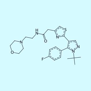 CC(C)(C)n1ncc(-c2nc(CC(=O)NCCN3CCOCC3)cs2)c1-c1ccc(F)cc1